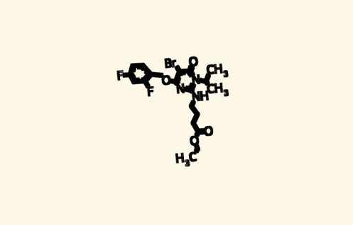 CCOC(=O)CCCNc1nc(OCc2ccc(F)cc2F)c(Br)c(=O)n1C(C)C